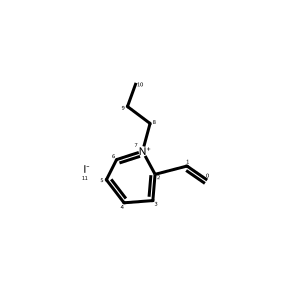 C=Cc1cccc[n+]1CCC.[I-]